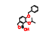 CC(C)Oc1c(OCc2ccccc2)ccc2c1B(O)OC2